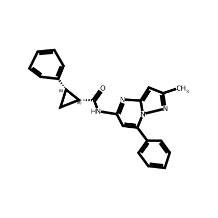 Cc1cc2nc(NC(=O)[C@@H]3C[C@@H]3c3ccccc3)cc(-c3ccccc3)n2n1